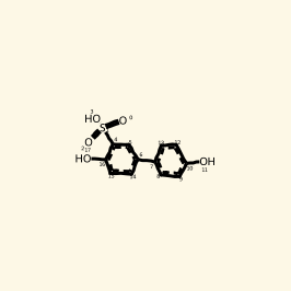 O=S(=O)(O)c1cc(-c2ccc(O)cc2)ccc1O